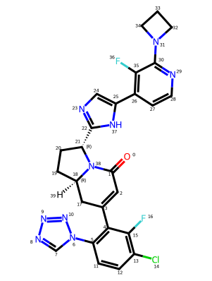 O=C1C=C(c2c(-n3cnnn3)ccc(Cl)c2F)C[C@H]2CC[C@H](c3ncc(-c4ccnc(N5CCC5)c4F)[nH]3)N12